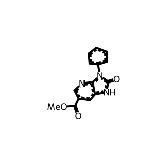 COC(=O)c1cnc2c(c1)[nH]c(=O)n2-c1ccccc1